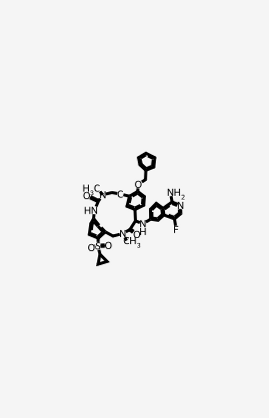 CN1CCc2cc(ccc2OCc2ccccc2)C(Nc2ccc3c(N)ncc(F)c3c2)C(=O)N(C)Cc2cc(ccc2S(=O)(=O)C2CC2)NC1=O